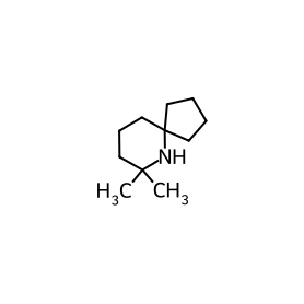 CC1(C)CCCC2(CCCC2)N1